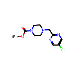 CC(C)(C)OC(=O)N1CCN(Cc2ncc(Cl)cn2)CC1